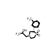 O=S1(=O)CCN(CC(O)C(F)(F)F)C[C@@H]1c1cccc(C(F)(F)F)c1